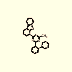 Cc1nc(-c2ccccc2-c2ccccc2)nc(-c2cccc3c2sc2ccccc23)n1